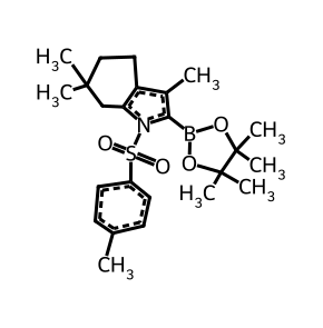 Cc1ccc(S(=O)(=O)n2c3c(c(C)c2B2OC(C)(C)C(C)(C)O2)CCC(C)(C)C3)cc1